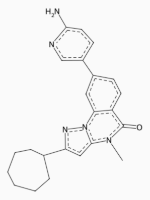 Cn1c(=O)c2ccc(-c3ccc(N)nc3)cc2n2nc(C3CCCCCC3)cc12